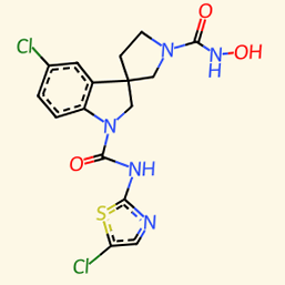 O=C(NO)N1CCC2(C1)CN(C(=O)Nc1ncc(Cl)s1)c1ccc(Cl)cc12